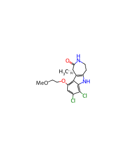 COCCOc1cc(Cl)c(Cl)c2[nH]c3c(c12)[C@H](C)C(=O)NCC3